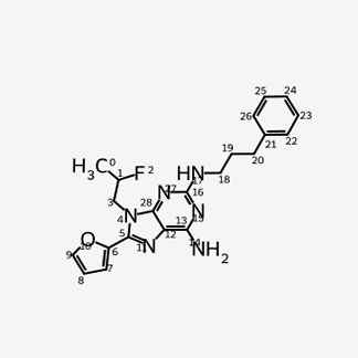 CC(F)Cn1c(-c2ccco2)nc2c(N)nc(NCCCc3ccccc3)nc21